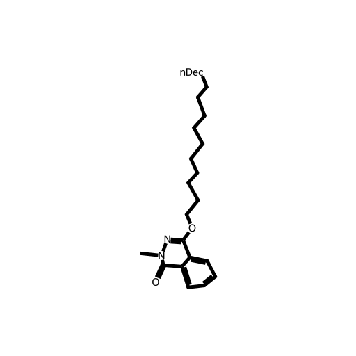 CCCCCCCCCCCCCCCCCCCCOc1nn(C)c(=O)c2ccccc12